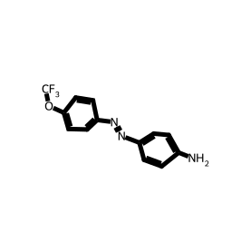 Nc1ccc(N=Nc2ccc(OC(F)(F)F)cc2)cc1